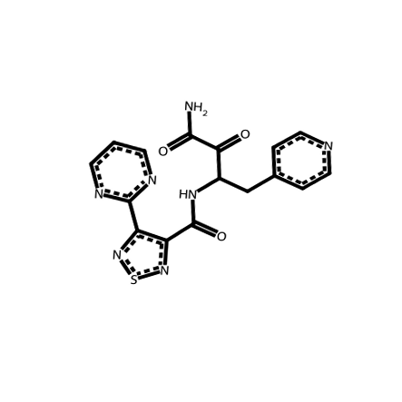 NC(=O)C(=O)C(Cc1ccncc1)NC(=O)c1nsnc1-c1ncccn1